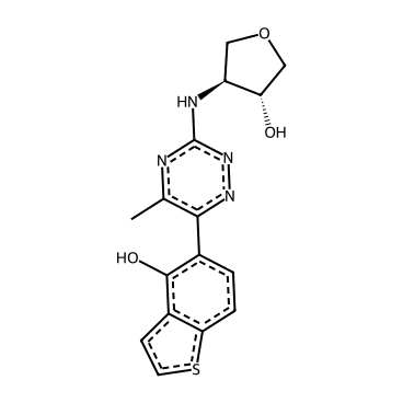 Cc1nc(N[C@H]2COC[C@@H]2O)nnc1-c1ccc2sccc2c1O